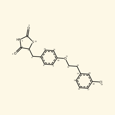 O=C1NC(=O)C(Cc2ccc(OCCc3cccc(Cl)c3)cc2)S1